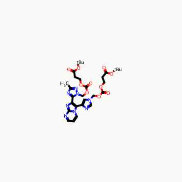 Cc1nc(-c2nc3ncccn3c2-c2cn(COC(=O)OCCC(=O)OC(C)(C)C)cn2)n(COC(=O)OCCC(=O)OC(C)(C)C)n1